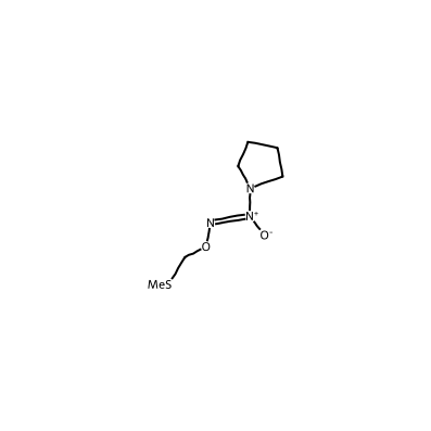 CSCON=[N+]([O-])N1CCCC1